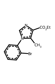 CCOC(=O)c1ncn(-c2ccccc2Br)c1C